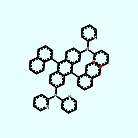 c1ccc(N(c2ccc3c(-c4cccc5ccccc45)c4ccc(N(c5ccccn5)c5ccccn5)cc4c(-c4cccc5ccccc45)c3c2)c2ccccn2)nc1